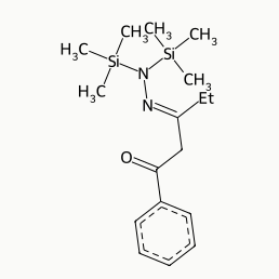 CCC(CC(=O)c1ccccc1)=NN([Si](C)(C)C)[Si](C)(C)C